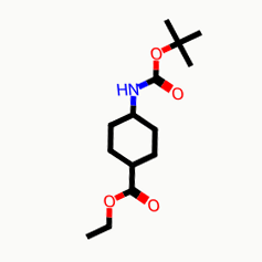 CCOC(=O)C1CCC(NC(=O)OC(C)(C)C)CC1